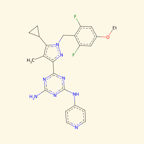 CCOc1cc(F)c(Cn2nc(-c3nc(N)nc(Nc4ccncc4)n3)c(C)c2C2CC2)c(F)c1